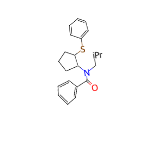 CC(C)CN(C(=O)c1ccccc1)C1CCCC1Sc1ccccc1